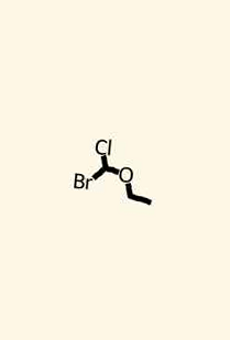 CCOC(Cl)Br